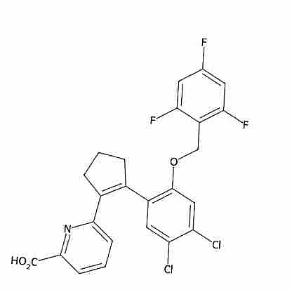 O=C(O)c1cccc(C2=C(c3cc(Cl)c(Cl)cc3OCc3c(F)cc(F)cc3F)CCC2)n1